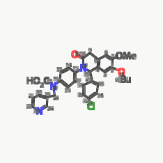 CC[C@@H](C)Oc1cc2c(cc1OC)CC(=O)N(c1ccc(N(Cc3cccnc3)C(=O)O)cc1)C2c1ccc(Cl)cc1